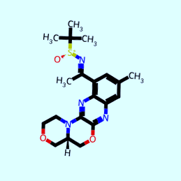 C/C(=N\[S@+]([O-])C(C)(C)C)c1cc(C)cc2nc3c(nc12)N1CCOC[C@H]1CO3